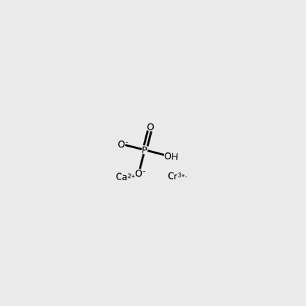 O=P([O-])([O-])O.[Ca+2].[Cr+3]